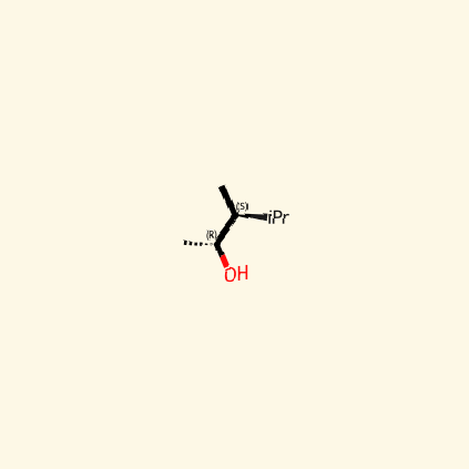 CC(C)[C@H](C)[C@@H](C)O